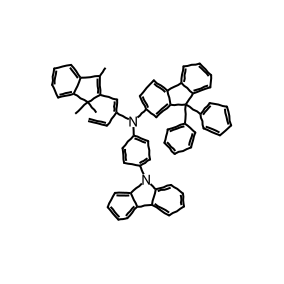 C=C/C(=C\C1=C(C)c2ccccc2C1(C)C)N(c1ccc(-n2c3ccccc3c3ccccc32)cc1)c1ccc2c(c1)C(c1ccccc1)(c1ccccc1)c1ccccc1-2